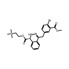 COC(=O)c1cc(CC2=NN[C@H](C(=O)OCC[Si](C)(C)C)c3ccccc32)ccc1Br